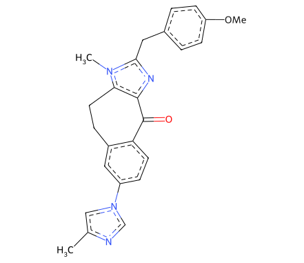 COc1ccc(Cc2nc3c(n2C)CCc2cc(-n4cnc(C)c4)ccc2C3=O)cc1